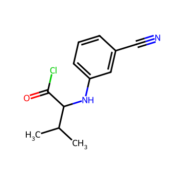 CC(C)C(Nc1cccc(C#N)c1)C(=O)Cl